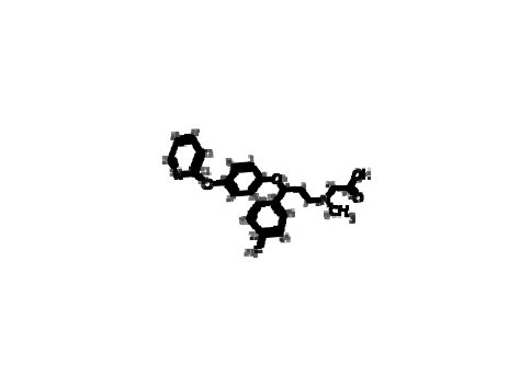 CN(CCC(Oc1ccc(Oc2ccccn2)cc1)c1ccc(F)cc1)CC(=O)O